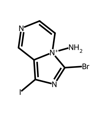 N[N+]12C=CN=CC1=C(I)N=C2Br